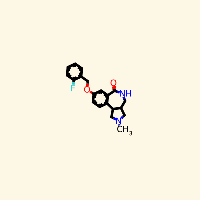 CN1CC2CNC(=O)c3cc(OCc4ccccc4F)ccc3C2C1